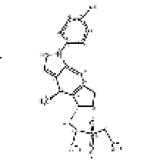 C[C@H]1C2=CNN(c3ccc(F)cc3)C2=CC2=C1[C@@H](CN(C)S(=O)(=O)CC(F)(F)F)CC2